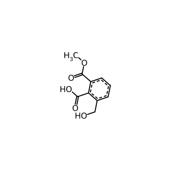 COC(=O)c1cccc(CO)c1C(=O)O